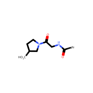 CC(C)C(=O)NCC(=O)N1CCC(C(=O)O)C1